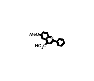 COc1ccc2nc(-c3ccccc3)cc(C(=O)O)c2c1